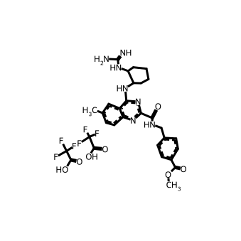 COC(=O)c1ccc(CNC(=O)c2nc(NC3CCCCC3NC(=N)N)c3cc(C)ccc3n2)cc1.O=C(O)C(F)(F)F.O=C(O)C(F)(F)F